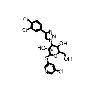 OCC1OC(Sc2cncc(Cl)c2)[C@@H](O)C(n2cc(-c3ccc(Cl)c(Cl)c3)nn2)C1O